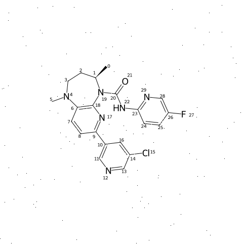 C[C@@H]1CCN(C)c2ccc(-c3cncc(Cl)c3)nc2N1C(=O)Nc1ccc(F)cn1